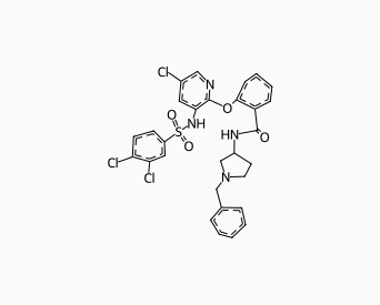 O=C(NC1CCN(Cc2ccccc2)C1)c1ccccc1Oc1ncc(Cl)cc1NS(=O)(=O)c1ccc(Cl)c(Cl)c1